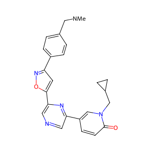 CNCc1ccc(-c2cc(-c3cncc(-c4ccc(=O)n(CC5CC5)c4)n3)on2)cc1